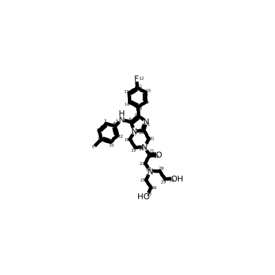 Cc1ccc(Nc2c(-c3ccc(F)cc3)nc3n2CCN(C(=O)CN(CCO)CCO)C3)cc1